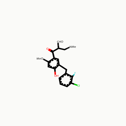 CNCC(C=O)C(=O)c1cc(Cc2cccc(Cl)c2F)c(O)cc1OC